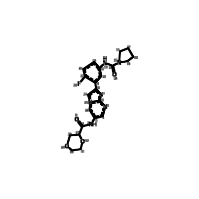 O=C(Nc1cnc2nc(-c3cc(NC(=O)N4CCCC4)ccc3F)cn2c1)C1COCCO1